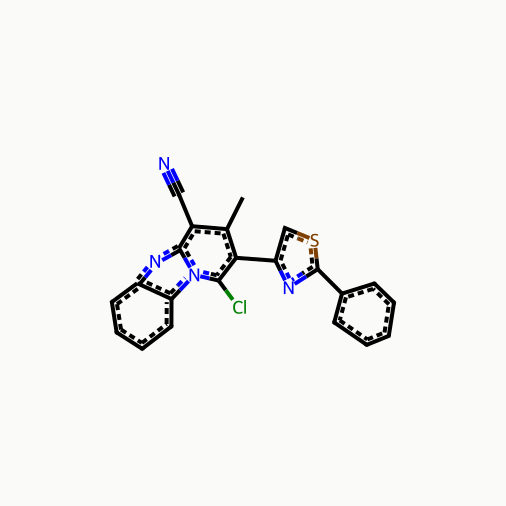 Cc1c(-c2csc(-c3ccccc3)n2)c(Cl)n2c(nc3ccccc32)c1C#N